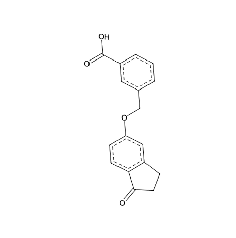 O=C(O)c1cccc(COc2ccc3c(c2)CCC3=O)c1